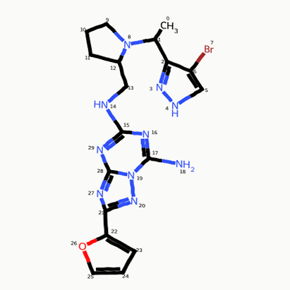 CC(c1n[nH]cc1Br)N1CCCC1CNc1nc(N)n2nc(-c3ccco3)nc2n1